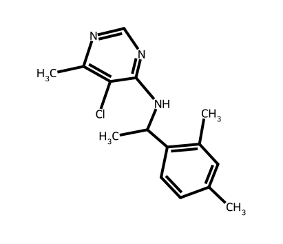 Cc1ccc(C(C)Nc2ncnc(C)c2Cl)c(C)c1